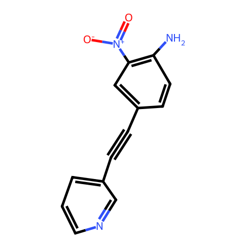 Nc1ccc(C#Cc2cccnc2)cc1[N+](=O)[O-]